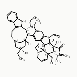 CC[C@]1(O)C[C@@H]2C[N@@](CCc3c([nH]c4ccccc34)[C@H](C(=O)OC)[C@H]2c2cc3c(cc2OC)N(C=O)[C@H]2[C@@](O)(C(=O)OC)[C@H](C(C)=O)[C@]4(CC)C=CCN5CC[C@]32[C@@H]54)C1